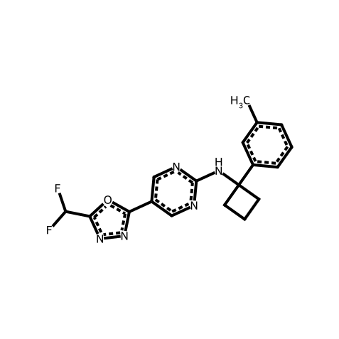 Cc1cccc(C2(Nc3ncc(-c4nnc(C(F)F)o4)cn3)CCC2)c1